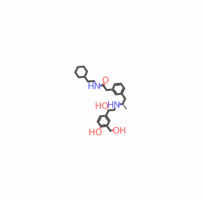 C[C@H](Cc1cccc(CC(=O)NCCC2CCCCC2)c1)NC[C@H](O)c1ccc(O)c(CO)c1